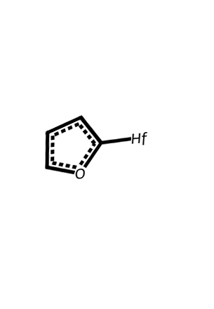 [Hf][c]1ccco1